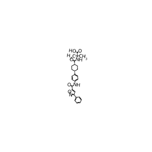 CC(C)(NC(=O)[C@H]1CC[C@@H](c2ccc(NC(=O)c3cc(-c4ccccc4)no3)cc2)CC1)C(=O)O